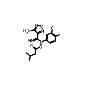 CC(C)CC(=O)ON(C(=N)c1nonc1N)c1ccc(F)c(Cl)c1